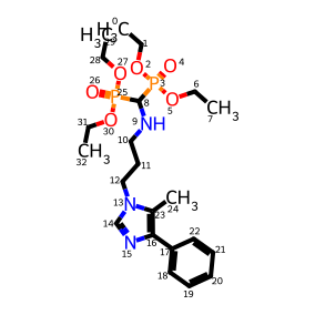 CCOP(=O)(OCC)C(NCCCn1cnc(-c2ccccc2)c1C)P(=O)(OCC)OCC